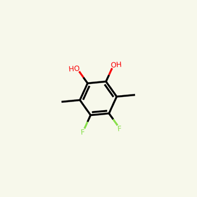 Cc1c(O)c(O)c(C)c(F)c1F